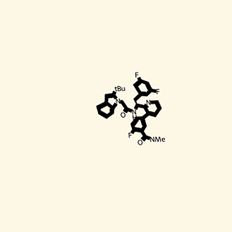 CNC(=O)c1cc(-c2cccnc2[C@H](Cc2cc(F)cc(F)c2)NC(=O)Cn2c(C(C)(C)C)cc3ccccc32)ccc1F